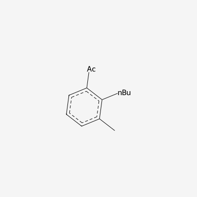 CCCCc1c(C)cccc1C(C)=O